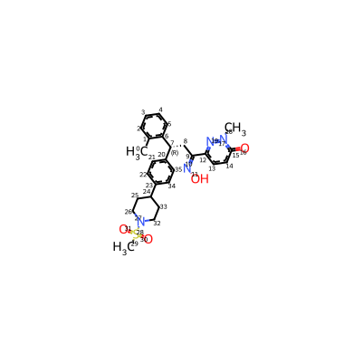 Cc1ccccc1[C@H](CC(=NO)c1ccc(=O)n(C)n1)c1ccc(C2CCN(S(C)(=O)=O)CC2)cc1